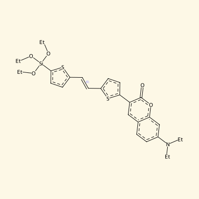 CCO[Si](OCC)(OCC)c1ccc(/C=C/c2ccc(-c3cc4ccc(N(CC)CC)cc4oc3=O)s2)s1